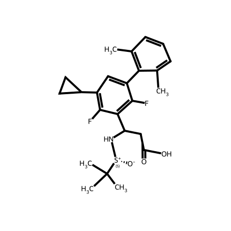 Cc1cccc(C)c1-c1cc(C2CC2)c(F)c(C(CC(=O)O)N[S@+]([O-])C(C)(C)C)c1F